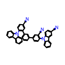 N#Cc1ccc(-n2c3ccccc3c3ccccc32)c(-c2cccc(-c3ccc(-n4c5ccccc5c5cc(C#N)ccc54)c(C#N)c3)c2)c1